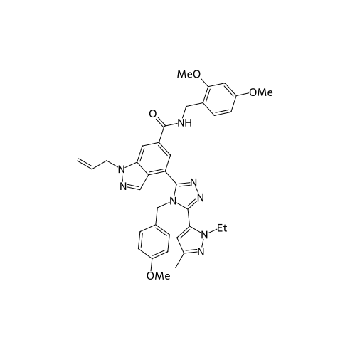 C=CCn1ncc2c(-c3nnc(-c4cc(C)nn4CC)n3Cc3ccc(OC)cc3)cc(C(=O)NCc3ccc(OC)cc3OC)cc21